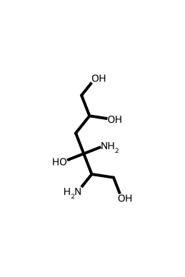 NC(CO)C(N)(O)CC(O)CO